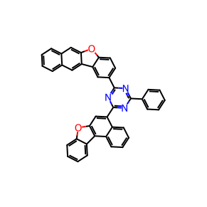 c1ccc(-c2nc(-c3ccc4oc5cc6ccccc6cc5c4c3)nc(-c3cc4oc5ccccc5c4c4ccccc34)n2)cc1